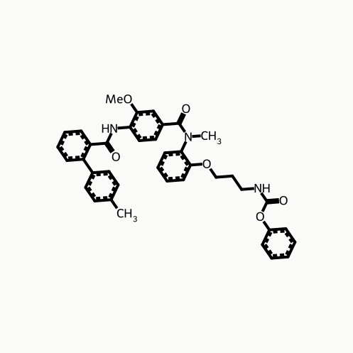 COc1cc(C(=O)N(C)c2ccccc2OCCCNC(=O)Oc2ccccc2)ccc1NC(=O)c1ccccc1-c1ccc(C)cc1